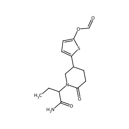 CCC(C(N)=O)N1CC(c2ccc(OC=O)s2)CCC1=O